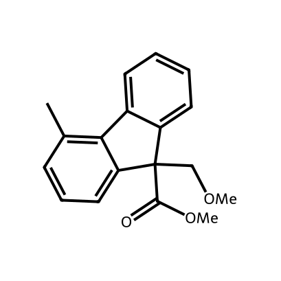 COCC1(C(=O)OC)c2ccccc2-c2c(C)cccc21